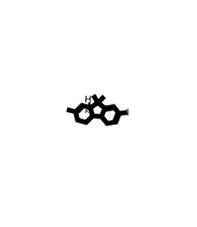 CC1=C[C@H]2C(CC1)C1CC=C(I)C=C1C2(C)C